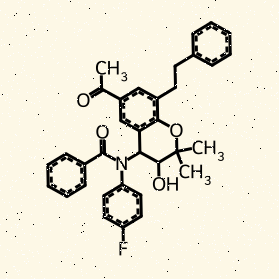 CC(=O)c1cc(CCc2ccccc2)c2c(c1)C(N(C(=O)c1ccccc1)c1ccc(F)cc1)C(O)C(C)(C)O2